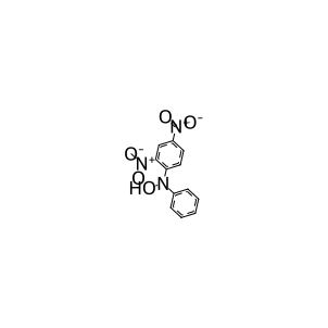 O=[N+]([O-])c1ccc(N(O)c2ccccc2)c([N+](=O)[O-])c1